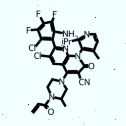 C=CC(=O)N1CCN(c2c(C#N)c(=O)n(-c3c(C)ccnc3C(C)C)c3nc(-c4c(N)c(F)c(F)c(F)c4Cl)c(Cl)cc23)CC1C